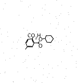 Cc1ccc(C(=O)O)c(C(=O)OC2CCCCC2)c1